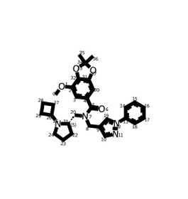 COc1cc(C(=O)N(Cc2cnn(-c3ccccc3)c2)C[C@@H]2CCCN2C2CCC2)cc2c1OC(C)(C)O2